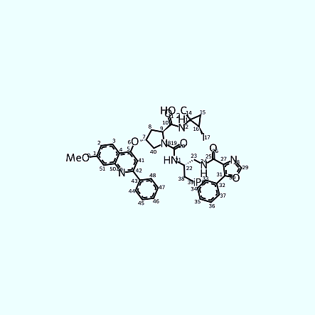 COc1ccc2c(O[C@@H]3C[C@@H](C(=O)N[C@]4(C(=O)O)C[C@H]4I)N(C(=O)N[C@H](CNC(=O)c4ncoc4-c4ccccc4)CC(C)C)C3)cc(-c3ccccc3)nc2c1